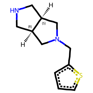 c1csc(CN2C[C@H]3CNC[C@H]3C2)c1